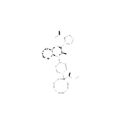 COC(=O)C1(N2CCC(n3c(=O)c(N4CCC[C@H]4C(C)=O)nc4ccccc43)CC2)CCCCCCC1